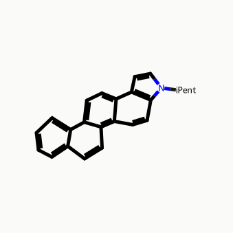 CCCC(C)n1ccc2c3ccc4c5ccccc5ccc4c3ccc21